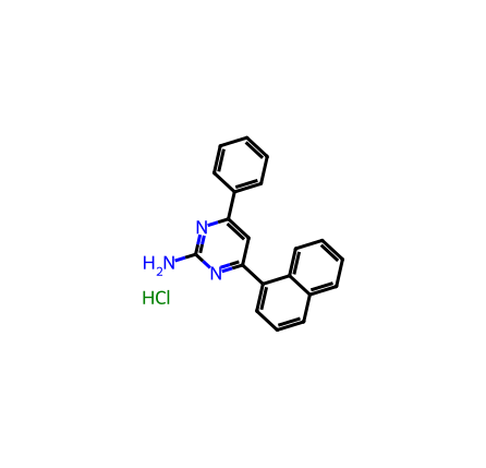 Cl.Nc1nc(-c2ccccc2)cc(-c2cccc3ccccc23)n1